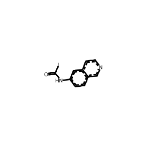 O=C(I)Nc1ccc2cnccc2c1